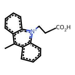 Cc1c2ccccc2[n+](CCC(=O)O)c2ccccc12